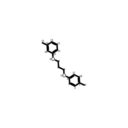 Cc1ccc(OCCCOc2cccc(C)c2)cc1